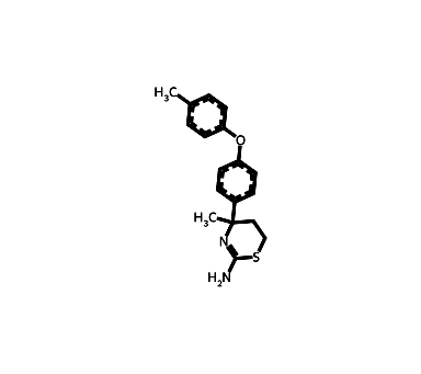 Cc1ccc(Oc2ccc(C3(C)CCSC(N)=N3)cc2)cc1